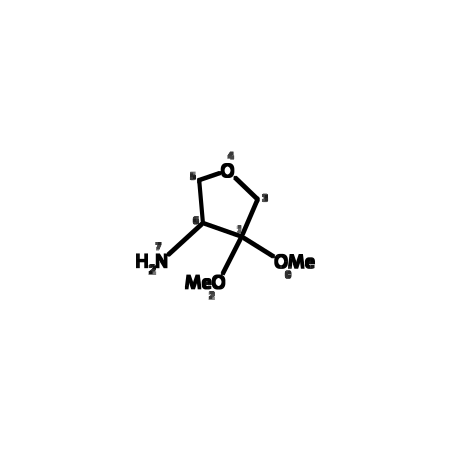 COC1(OC)COCC1N